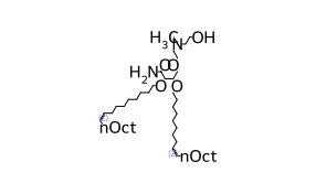 CCCCCCCC/C=C\CCCCCCCCOC(COCCN(C)CCO)C(OCCCCCCCC/C=C\CCCCCCCC)C(N)=O